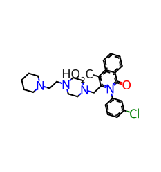 O=C(O)c1c(CN2CCN(CCN3CCCCC3)CC2)n(-c2cccc(Cl)c2)c(=O)c2ccccc12